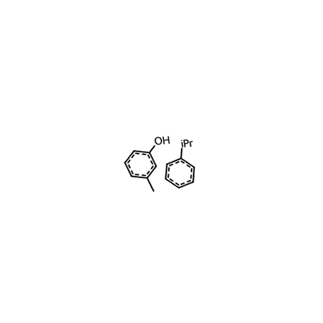 CC(C)c1ccccc1.Cc1cccc(O)c1